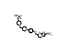 CC(C)(C)[Si](C)(C)OC1CCN(CC2CCN(c3ccc(OCC4CCn5cc([N+](=O)[O-])nc5O4)cc3)CC2)CC1